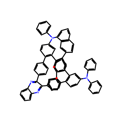 c1ccc(-c2ccccc2-c2cc(N(c3ccccc3)c3ccccc3)ccc2-c2ccc(-c3nc4ccccc4nc3-c3ccc(-c4ccc(N(c5ccccc5)c5ccccc5)cc4-c4ccccc4-c4ccccc4)cc3)cc2)cc1